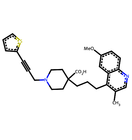 COc1ccc2ncc(C)c(CCCC3(C(=O)O)CCN(CC#Cc4cccs4)CC3)c2c1